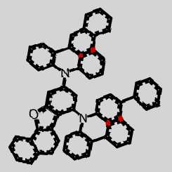 c1ccc(-c2ccc(N(c3ccccc3-c3ccccc3)c3cc(N(c4ccccc4)c4ccccc4-c4ccc5ccccc5c4)cc4oc5c6ccccc6ccc5c34)cc2)cc1